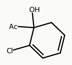 CC(=O)C1(O)CC=CC=C1Cl